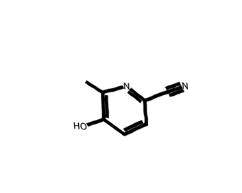 Cc1nc(C#N)ccc1O